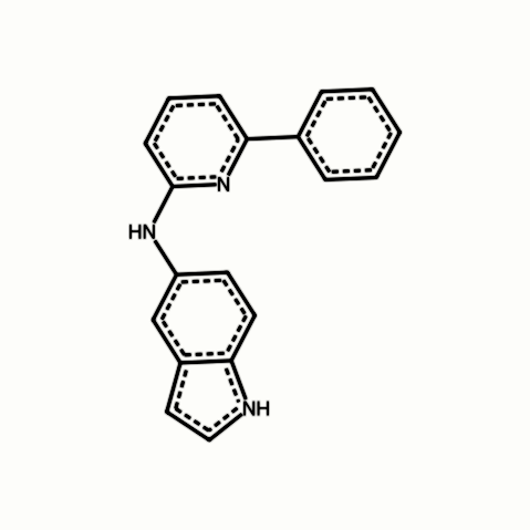 c1ccc(-c2cccc(Nc3ccc4[nH]ccc4c3)n2)cc1